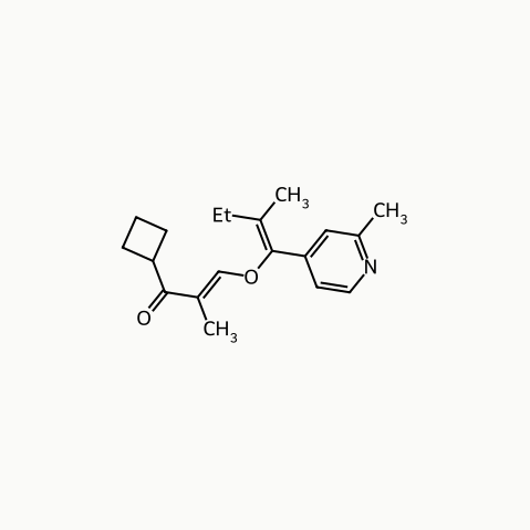 CC/C(C)=C(\O/C=C(\C)C(=O)C1CCC1)c1ccnc(C)c1